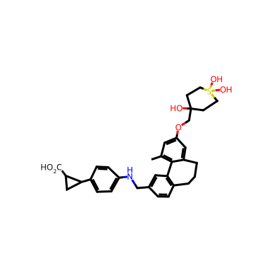 Cc1cc(OCC2(O)CCS(O)(O)CC2)cc2c1-c1cc(CNc3ccc(C4CC4C(=O)O)cc3)ccc1CCC2